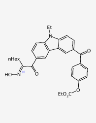 CCCCCC/C(=N\O)C(=O)c1ccc2c(c1)c1cc(C(=O)c3ccc(OC(=O)OCC)cc3)ccc1n2CC